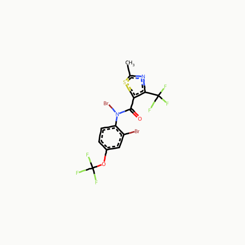 Cc1nc(C(F)(F)F)c(C(=O)N(Br)c2ccc(OC(F)(F)F)cc2Br)s1